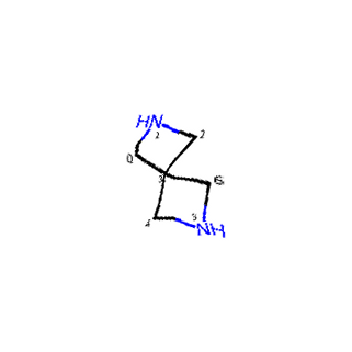 C1NCC12CNC2